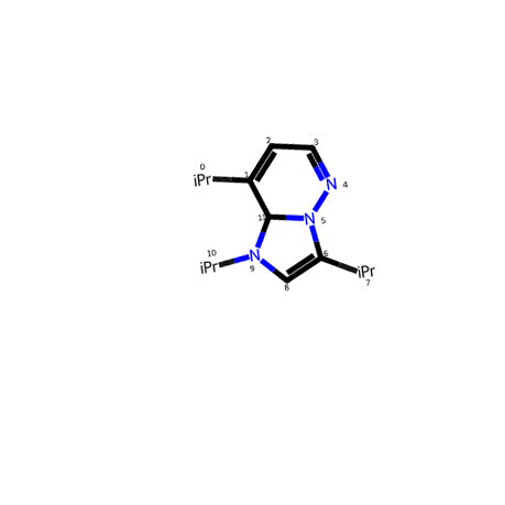 CC(C)C1=CC=NN2C(C(C)C)=CN(C(C)C)C12